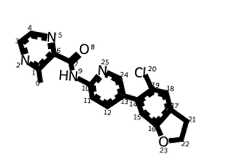 Cc1nccnc1C(=O)Nc1ccc(-c2cc3c(cc2Cl)CCO3)cn1